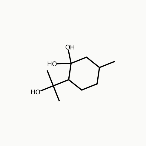 CC1CCC(C(C)(C)O)C(O)(O)C1